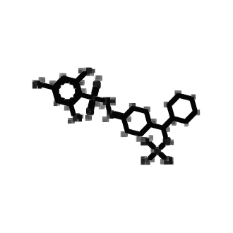 CC[Si](CC)(CC)OC(C1CCCCC1)C1CCC(=NNS(=O)(=O)c2c(C(C)C)cc(C(C)C)cc2C(C)C)CC1